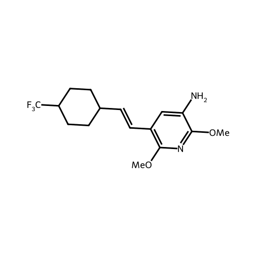 COc1nc(OC)c(/C=C/C2CCC(C(F)(F)F)CC2)cc1N